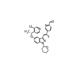 C[C@@H](Oc1ccc2c(c1)c(/C=C(\F)c1ccc(C=O)nc1)nn2C1CCCCO1)c1ccncc1Cl